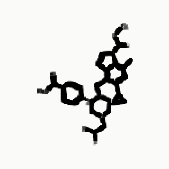 COC(=O)c1ccc([C@H]2CN(CC(F)F)CCN2Cc2c(C3CC3)cc(C)c3c2ccn3C(=O)OC(C)(C)C)cc1